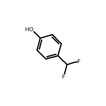 Oc1ccc([C](F)F)cc1